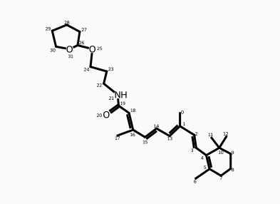 CC(C=CC1=C(C)CCCC1(C)C)=CC=CC(C)=CC(=O)NCCCOC1CCCCO1